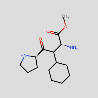 COC(=O)[C@H](N)C(C(=O)[C@H]1CCCN1)C1CCCCC1